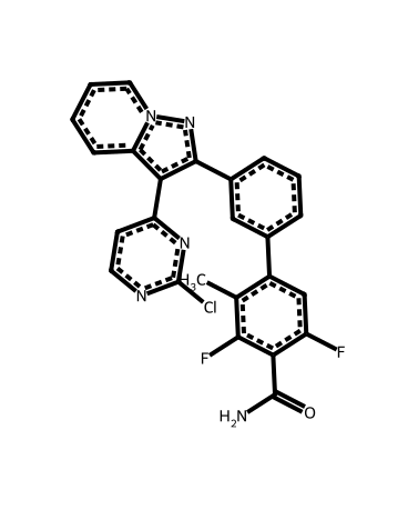 Cc1c(-c2cccc(-c3nn4ccccc4c3-c3ccnc(Cl)n3)c2)cc(F)c(C(N)=O)c1F